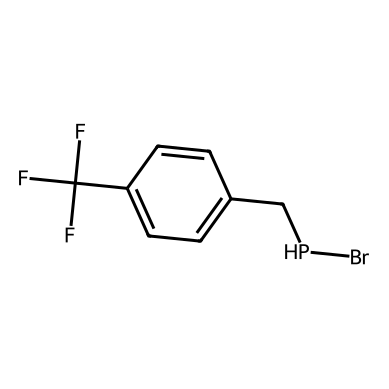 FC(F)(F)c1ccc(CPBr)cc1